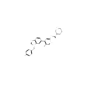 O=C(Nc1cc(-c2ccc3ncn(Cc4ccc(F)cc4)c3c2)c(Cl)cn1)[C@@H]1CCCNC1